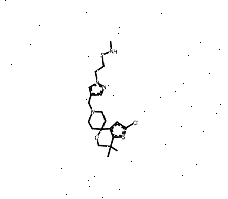 CNSCCn1cc(CN2CCC3(CC2)OCC(C)(C)c2sc(Cl)cc23)cn1